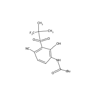 CC(C)(C)C(=O)Nc1ccc(C#N)c(S(=O)(=O)C(C)(C)C(F)(F)F)c1O